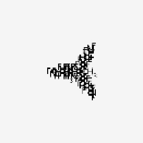 Cc1c(-c2c(F)c(F)c(-c3c(F)c(F)c(-c4ccc(F)nc4F)c(F)c3F)c(F)c2F)c(C)c(-c2c(F)c(F)c(-c3c(F)c(F)c(-c4ccc(F)nc4F)c(F)c3F)c(F)c2F)c(C)c1-c1c(F)c(F)c(-c2c(F)c(F)c(-c3ccc(F)nc3F)c(F)c2F)c(F)c1F